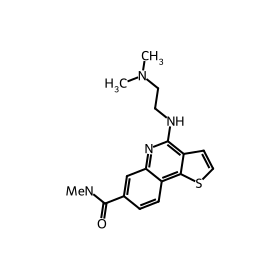 CNC(=O)c1ccc2c(c1)nc(NCCN(C)C)c1ccsc12